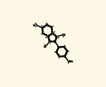 CCn1c(-c2ccc(SC)cc2)c(C#N)c2ccc(C)cc21